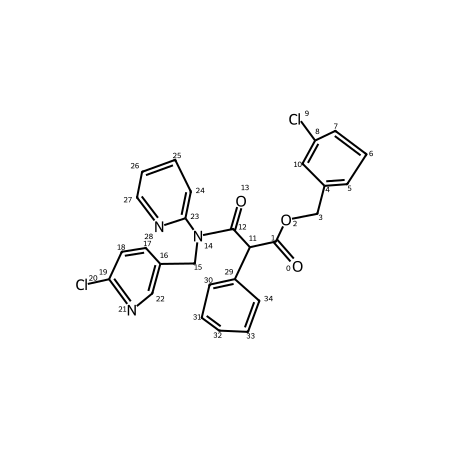 O=C(OCc1cccc(Cl)c1)C(C(=O)N(Cc1ccc(Cl)nc1)c1ccccn1)c1ccccc1